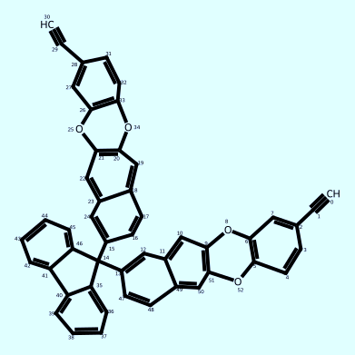 C#Cc1ccc2c(c1)Oc1cc3cc(C4(c5ccc6cc7c(cc6c5)Oc5cc(C#C)ccc5O7)c5ccccc5-c5ccccc54)ccc3cc1O2